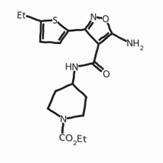 CCOC(=O)N1CCC(NC(=O)c2c(-c3ccc(CC)s3)noc2N)CC1